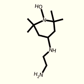 CC1(C)CC(NCCN)CC(C)(C)N1O